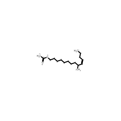 CCC/C=C\C(C)CCCCCCCCOC(C)=O